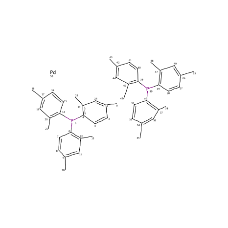 Cc1ccc(P(c2ccc(C)cc2C)c2ccc(C)cc2C)c(C)c1.Cc1ccc(P(c2ccc(C)cc2C)c2ccc(C)cc2C)c(C)c1.[Pd]